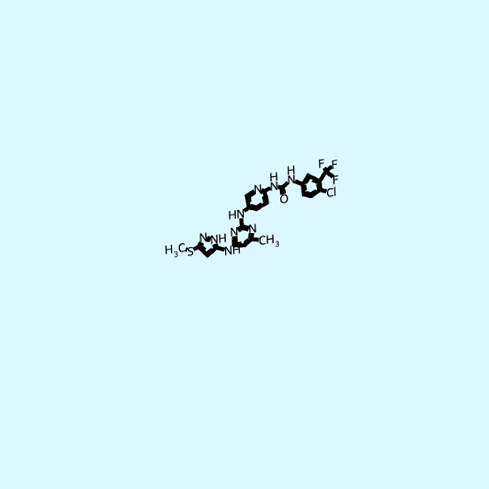 CSc1cc(Nc2cc(C)nc(Nc3ccc(NC(=O)Nc4ccc(Cl)c(C(F)(F)F)c4)nc3)n2)[nH]n1